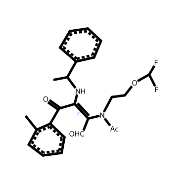 CC(=O)N(CCOC(F)F)/C(C=O)=C(\NC(C)c1ccccc1)C(=O)c1ccccc1C